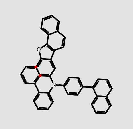 c1ccc(-c2ccccc2N(c2ccc(-c3cccc4ccccc34)cc2)c2ccc3oc4c5ccccc5ccc4c3c2)cc1